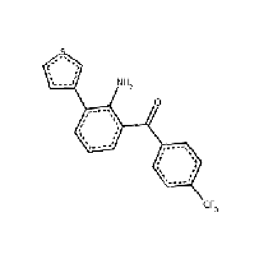 Nc1c(C(=O)c2ccc(C(F)(F)F)cc2)cccc1-c1ccsc1